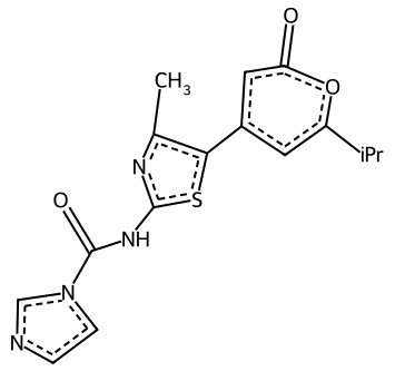 Cc1nc(NC(=O)n2ccnc2)sc1-c1cc(C(C)C)oc(=O)c1